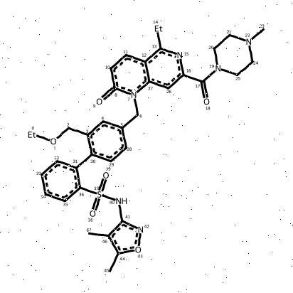 CCOCc1cc(Cn2c(=O)ccc3c(CC)nc(C(=O)N4CCN(C)CC4)cc32)ccc1-c1ccccc1S(=O)(=O)Nc1noc(C)c1C